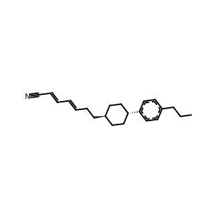 CCCc1ccc([C@H]2CC[C@H](CC/C=C/C=C/C#N)CC2)cc1